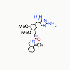 COc1cc(Cc2cnc(N)nc2N)cc(/C=C/C(=O)N2CCc3ccccc3[C@H]2C#N)c1OC